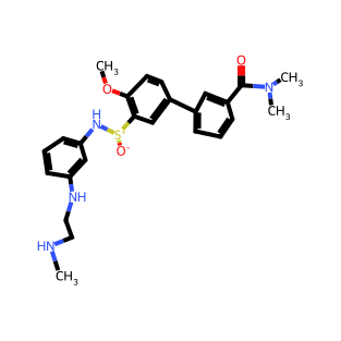 CNCCNc1cccc(N[S+]([O-])c2cc(-c3cccc(C(=O)N(C)C)c3)ccc2OC)c1